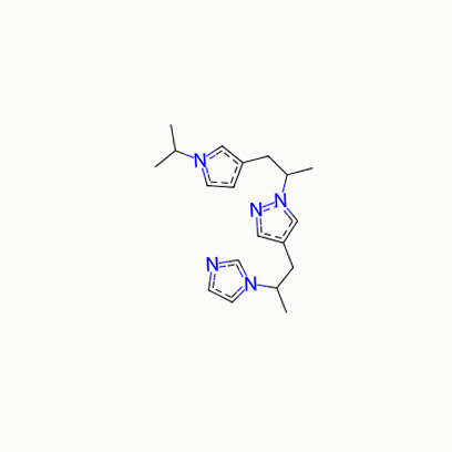 CC(C)n1ccc(CC(C)n2cc(CC(C)n3ccnc3)cn2)c1